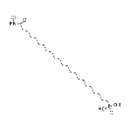 O=C(CCCCCCCCCCCCCCCCCCCCCCP(=O)(O)O)NO